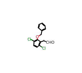 O=C[CH]c1c(Cl)ccc(Cl)c1OCc1ccccc1